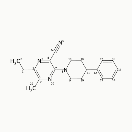 CCc1nc(C#N)c(N2CCC(c3ccccc3)CC2)nc1C